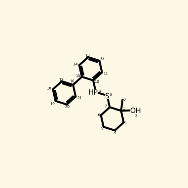 CC1(O)CCCCC1SPc1ccccc1-c1ccccc1